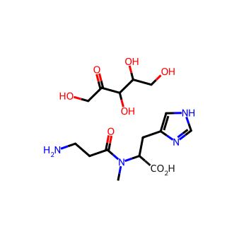 CN(C(=O)CCN)C(Cc1c[nH]cn1)C(=O)O.O=C(CO)C(O)C(O)CO